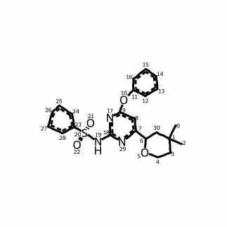 CC1(C)CCOC(c2cc(Oc3ccccc3)nc(NS(=O)(=O)c3ccccc3)n2)C1